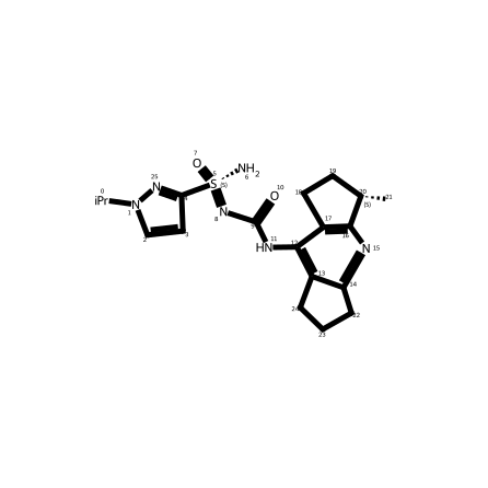 CC(C)n1ccc([S@@](N)(=O)=NC(=O)Nc2c3c(nc4c2CC[C@@H]4C)CCC3)n1